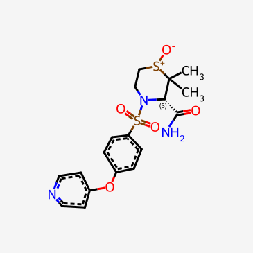 CC1(C)[C@H](C(N)=O)N(S(=O)(=O)c2ccc(Oc3ccncc3)cc2)CC[S+]1[O-]